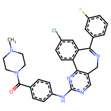 CN1CCN(C(=O)c2ccc(Nc3ncc4c(n3)-c3ccc(Cl)cc3C(c3cccc(F)c3)=NC4)cc2)CC1